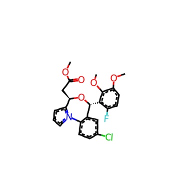 COC(=O)C[C@H]1O[C@H](c2c(F)ccc(OC)c2OC)c2cc(Cl)ccc2-n2cccc21